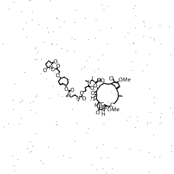 COC1=C(Cl)C2CC(=C1)CC(C)CCC[C@@H](OC)[C@@]1(O)C[C@H](OC(=O)N1)[C@@H](C)[C@@H]1O[C@@]1(C)[C@@H](OC(=O)[C@H](C)N(C)C(=O)CCOC(=O)N(C)CCN(C)C(=O)OC1/C=C/CC(OCC(=O)ON3C(=O)CCC3=O)CCC1)CC(O)C2